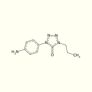 CCCn1nnn(-c2ccc(N)cc2)c1=O